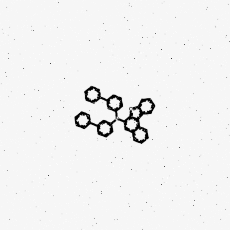 c1ccc(-c2cccc(N(c3cccc(-c4ccccc4)c3)c3cc4ccccc4c4c3oc3ccccc34)c2)cc1